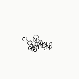 Cc1cn2nc([C@@H]3CCCCN3C(=O)c3cc(Cl)ccc3NS(C)(=O)=O)cc2nc1N1CCC12CCC2